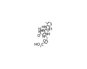 CCc1cccc(C)c1NC(=O)Nc1[nH]c(Cc2ccc(C(=O)O)o2)nc1C(N)=O